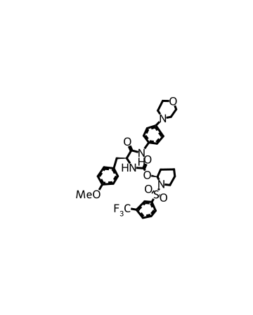 COc1ccc(C[C@H](NC(=O)O[C@H]2CCCCN2S(=O)(=O)c2cccc(C(F)(F)F)c2)C(=O)Nc2ccc(N3CCOCC3)cc2)cc1